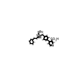 CCCCc1nc(CCC2CCCCC2)nn1Cc1ccc(-c2ccncc2C(=O)O)cc1